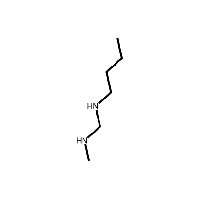 CCCCNCNC